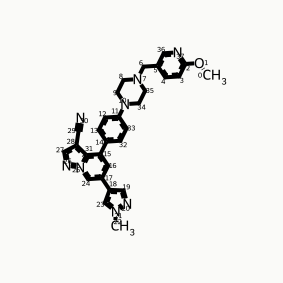 COc1ccc(CN2CCN(c3ccc(-c4cc(-c5cnn(C)c5)cn5ncc(C#N)c45)cc3)CC2)cn1